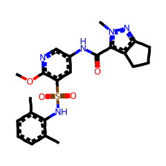 COc1ncc(NC(=O)c2c3c(nn2C)CCC3)cc1S(=O)(=O)Nc1c(C)cccc1C